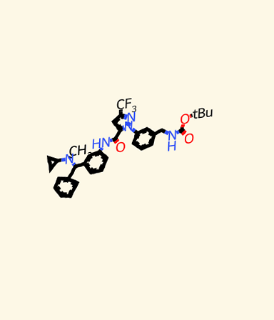 CN(C1CC1)C(c1ccccc1)c1cccc(NC(=O)c2cc(C(F)(F)F)nn2-c2cccc(CNC(=O)OC(C)(C)C)c2)c1